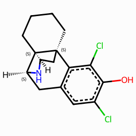 Oc1c(Cl)cc2c(c1Cl)[C@]13CCCC[C@@H]1[C@H](C2)NCC3